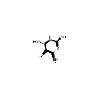 C[C@H](NC(=O)O)C(=O)C=N